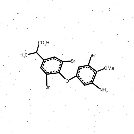 COc1c(N)cc(Oc2c(Br)cc(C(C)C(=O)O)cc2Br)cc1C(C)C